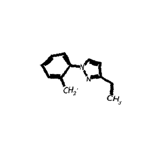 [CH2]c1ccccc1-n1ccc(CC)n1